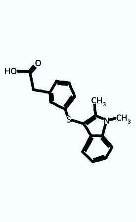 Cc1c(Sc2cccc(CC(=O)O)c2)c2ccccc2n1C